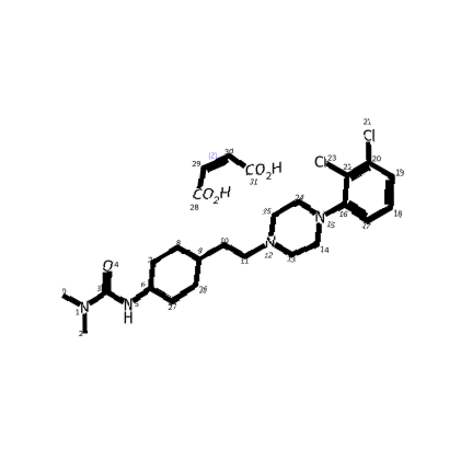 CN(C)C(=O)NC1CCC(CCN2CCN(c3cccc(Cl)c3Cl)CC2)CC1.O=C(O)/C=C\C(=O)O